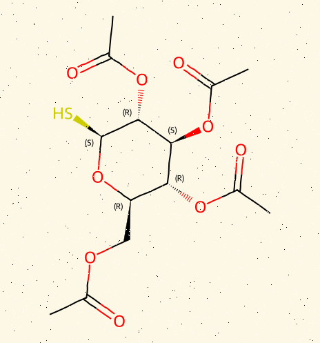 CC(=O)OC[C@H]1O[C@@H](S)[C@H](OC(C)=O)[C@@H](OC(C)=O)[C@@H]1OC(C)=O